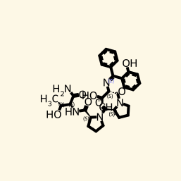 C[C@@H](O)[C@H](/N=C(/c1ccccc1)c1ccccc1O)C(=O)N1CCC[C@H]1C(=O)N1CCC[C@H]1C(=O)N[C@H](C(N)=O)[C@@H](C)O